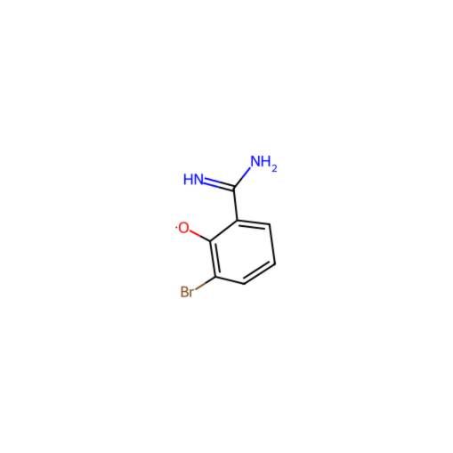 N=C(N)c1cccc(Br)c1[O]